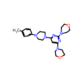 Cc1ccc(N2CCN(c3cc(N4CCOCC4)nc(N4CCOCC4)n3)CC2)cc1